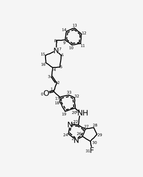 O=C(/C=C/C1CCN(Cc2ccccc2)CC1)c1ccc(Nc2ncnc3c2CCC3F)cc1